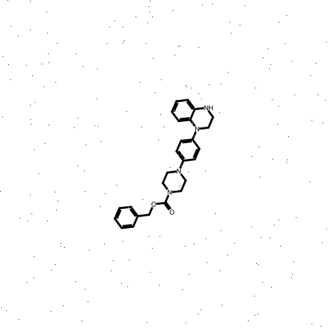 O=C(OCc1ccccc1)N1CCN(c2ccc(N3CCNc4ccccc43)cc2)CC1